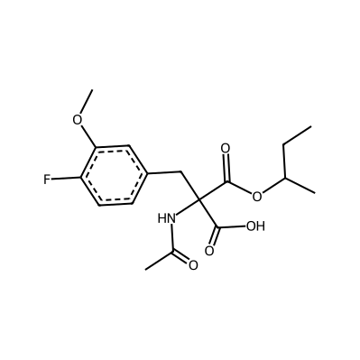 CCC(C)OC(=O)C(Cc1ccc(F)c(OC)c1)(NC(C)=O)C(=O)O